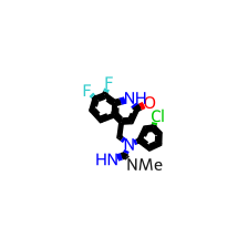 CNC(=N)N(Cc1cc(=O)[nH]c2c(F)c(F)ccc12)c1cccc(Cl)c1